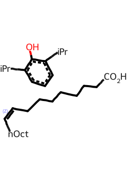 CC(C)c1cccc(C(C)C)c1O.CCCCCCCC/C=C\CCCCCCCC(=O)O